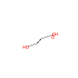 O=C(O)CCCCCCCC#CC#CCCCCCCO